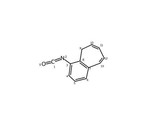 O=C=Nc1cccc2c1CC=CC=C2